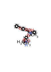 CC(COc1ccc2c(c1)C(=O)NC(C)(C)O2)N(Cc1ccccc1)CC(O)COc1ccc(OCc2ccccc2)cc1